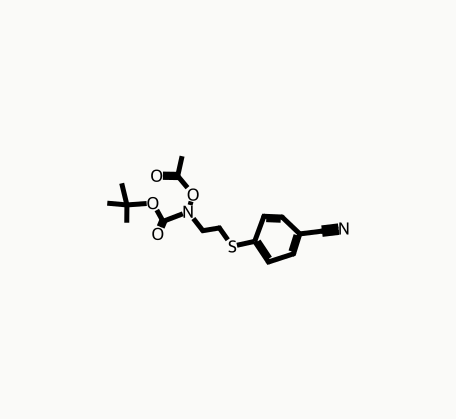 CC(=O)ON(CCSc1ccc(C#N)cc1)C(=O)OC(C)(C)C